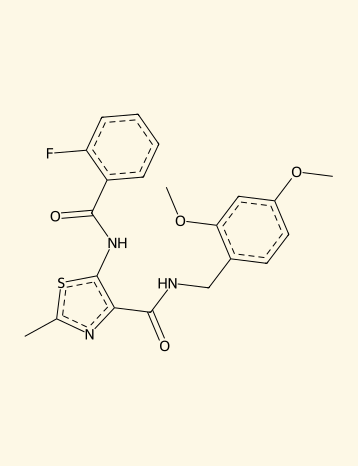 COc1ccc(CNC(=O)c2nc(C)sc2NC(=O)c2ccccc2F)c(OC)c1